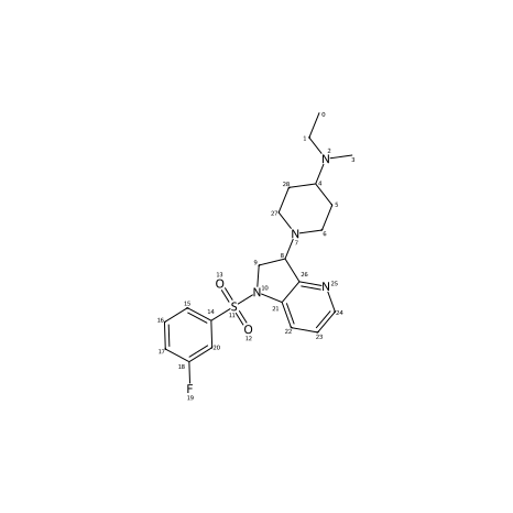 CCN(C)C1CCN(C2CN(S(=O)(=O)c3cccc(F)c3)c3cccnc32)CC1